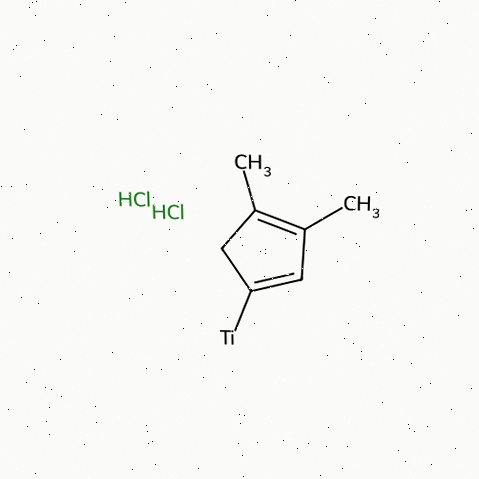 CC1=C(C)C[C]([Ti])=C1.Cl.Cl